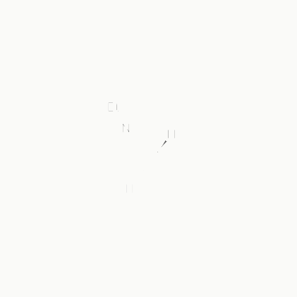 CCN1CC[C@@H]2CCCC[C@H]2C1